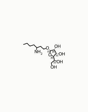 CCCCC(N)CCO[C@H]1O[C@H]([C@@H](O)CO)[C@@H](O)[C@H]1O